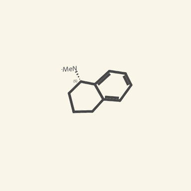 C[N][C@H]1CCCc2ccccc21